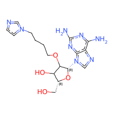 Nc1nc(N)c2ncn([C@@H]3O[C@H](CO)C(O)C3OCCCCn3ccnc3)c2n1